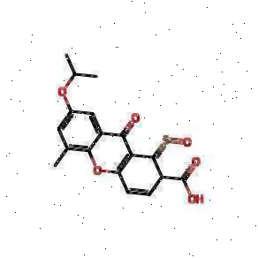 Cc1cc(OC(C)C)cc2c(=O)c3c(oc12)C=CC(C(=O)O)C3=S=O